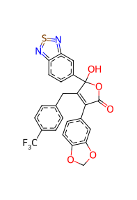 O=C1OC(O)(c2ccc3nsnc3c2)C(Cc2ccc(C(F)(F)F)cc2)=C1c1ccc2c(c1)OCO2